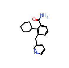 NC(=O)c1cccc(Cc2cccnc2)c1C1CCCCC1